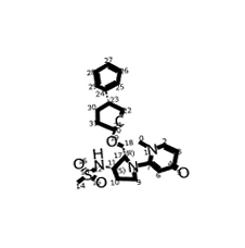 Cn1ccc(=O)cc1N1CC[C@H](NS(C)(=O)=O)[C@@H]1CO[C@H]1CC[C@@H](c2ccccc2)CC1